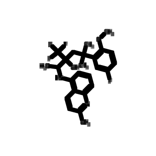 COc1ccc(F)cc1C(C)(C)CC(O)(C(C)Nc1cccc2nc(C)ccc12)C(F)(F)F